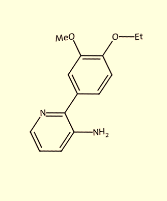 CCOc1ccc(-c2ncccc2N)cc1OC